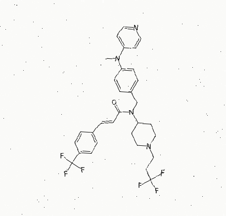 CN(c1ccncc1)c1ccc(CN(C(=O)C=Cc2ccc(C(F)(F)F)cc2)C2CCN(CCC(F)(F)F)CC2)cc1